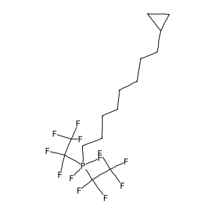 FC(F)(F)C(F)(F)P(F)(F)(CCCCCCCCC1CC1)C(F)(F)C(F)(F)F